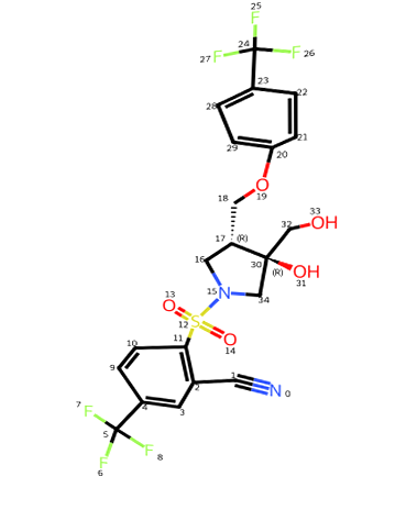 N#Cc1cc(C(F)(F)F)ccc1S(=O)(=O)N1C[C@H](COc2ccc(C(F)(F)F)cc2)[C@](O)(CO)C1